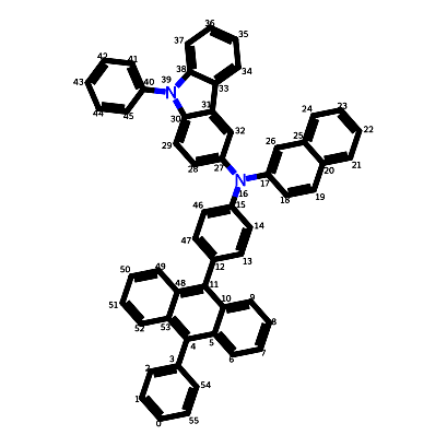 c1ccc(-c2c3ccccc3c(-c3ccc(N(c4ccc5ccccc5c4)c4ccc5c(c4)c4ccccc4n5-c4ccccc4)cc3)c3ccccc23)cc1